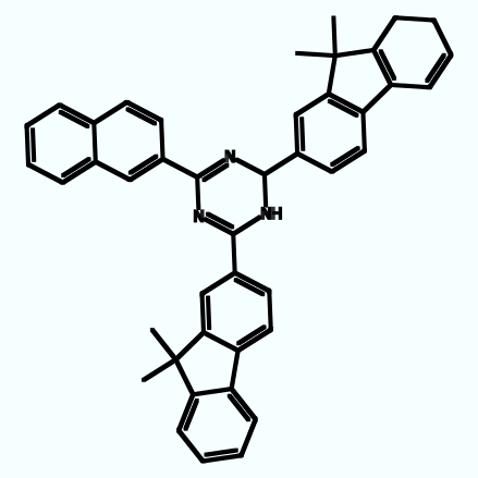 CC1(C)C2=C(C=CCC2)c2ccc(C3N=C(c4ccc5ccccc5c4)N=C(c4ccc5c(c4)C(C)(C)c4ccccc4-5)N3)cc21